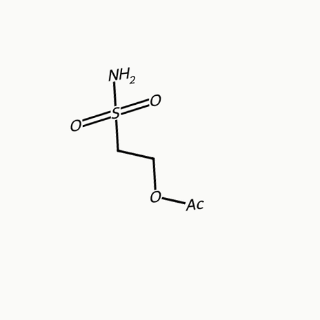 CC(=O)OCCS(N)(=O)=O